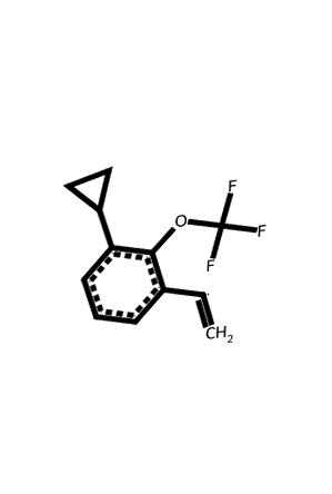 C=[C]c1cccc(C2CC2)c1OC(F)(F)F